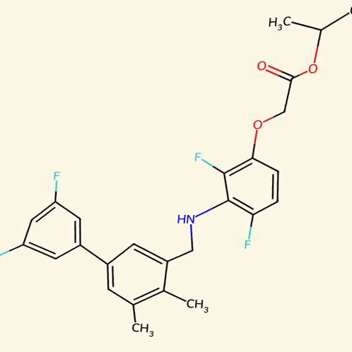 Cc1cc(-c2cc(F)cc(F)c2)cc(CNc2c(F)ccc(OCC(=O)OC(C)C)c2F)c1C